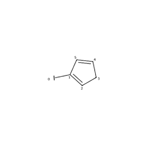 IC1=CCC=C1